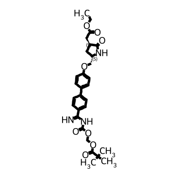 CCOC(=O)C[C@@H]1C[C@@H](COc2ccc(-c3ccc(C(=N)NC(=O)OCOC(=O)C(C)(C)C)cc3)cc2)NC1=O